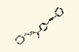 O=C(NCCN1CCOCC1)c1ccc(C#Cc2ccccc2)cc1